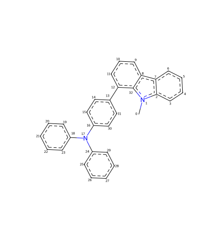 Cn1c2ccccc2c2cccc(-c3ccc(N(c4ccccc4)c4ccccc4)cc3)c21